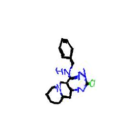 Clc1nc2c(c(NCc3ccccc3)n1)CN1CCCCC1C2